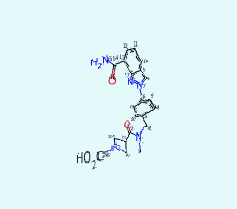 CN(Cc1ccc(-n2cc3cccc(C(N)=O)c3n2)cc1)C(=O)C1CN(C(=O)O)C1